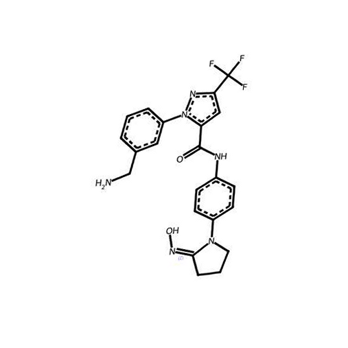 NCc1cccc(-n2nc(C(F)(F)F)cc2C(=O)Nc2ccc(N3CCC/C3=N/O)cc2)c1